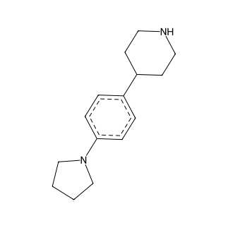 c1cc(N2CCCC2)ccc1C1CCNCC1